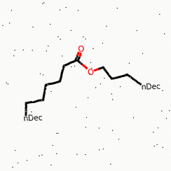 CCCCCCCCCCCCCCCC(=O)OCCCCCCCCCCCCC